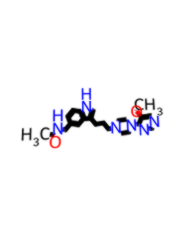 COc1cncnc1N1CCN(CCCc2c[nH]c3ccc(CNC(C)=O)cc23)CC1